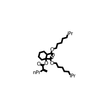 C=C(CCC)C(=O)OC1(C(=O)OCCCCCC(C)C)CCCCC1C(=O)OCCCCCC(C)C